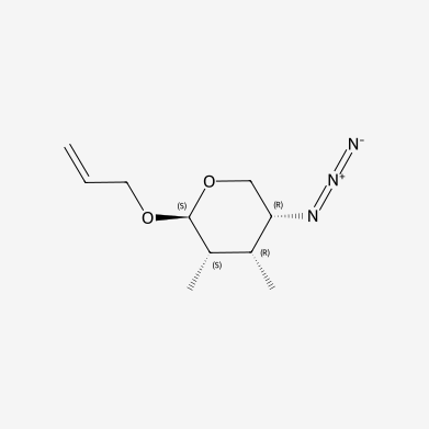 C=CCO[C@H]1OC[C@H](N=[N+]=[N-])[C@H](C)[C@@H]1C